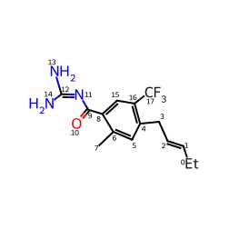 CC/C=C/Cc1cc(C)c(C(=O)N=C(N)N)cc1C(F)(F)F